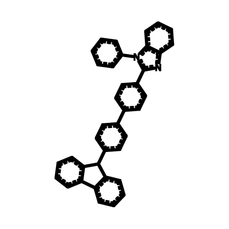 c1ccc(-n2c(-c3ccc(-c4ccc(C5c6ccccc6-c6ccccc65)cc4)cc3)nc3ccccc32)cc1